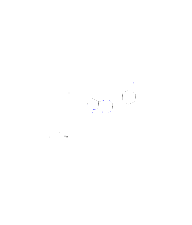 CC(C)(C)C(=O)c1cn(COCC[Si](C)(C)C)c2ncc(-c3cccc(NC4CCCC4)c3)nc12